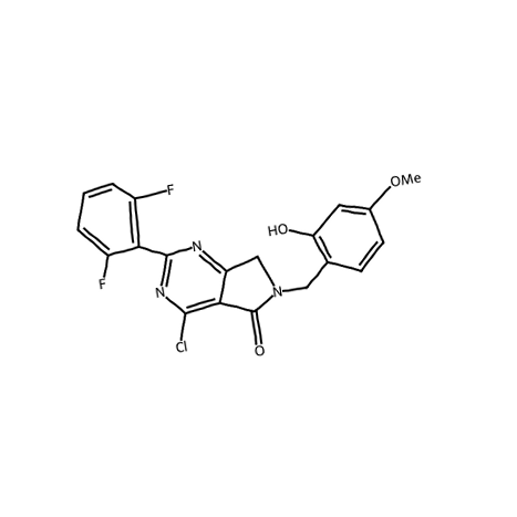 COc1ccc(CN2Cc3nc(-c4c(F)cccc4F)nc(Cl)c3C2=O)c(O)c1